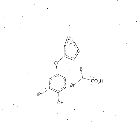 CC(C)c1cc(Oc2ccc3cc2-3)ccc1O.O=C(O)C(Br)Br